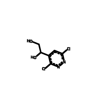 OCC(O)c1cc(Cl)nnc1Cl